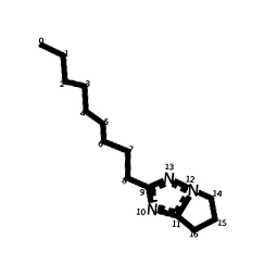 CCCCCCCCCc1nc2n(n1)CCC2